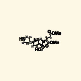 COC(=O)CCC(C(=O)OC)N1Cc2nc(C3CCNCC3)ccc2C1=O.Cl